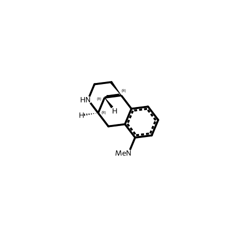 CNc1cccc2c1C[C@H]1NCC[C@@]23CCCC[C@@H]13